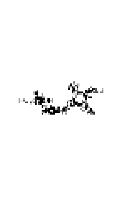 CC(C)(C)OC(=O)CN1CCN(CC(=O)NCC(=O)NCC2CCC(C(=O)NC[C@@H]3O[C@]4(C(=O)O)OC(C)(C)O[C@@H]4[C@H]3O)CC2)CCN(CC(=O)OC(C)(C)C)CCN(CC(=O)OC(C)(C)C)CC1